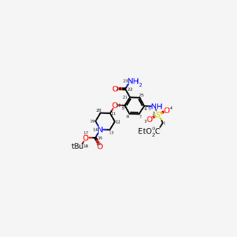 CCOC(=O)CS(=O)(=O)Nc1ccc(OC2CCN(C(=O)OC(C)(C)C)CC2)c(C(N)=O)c1